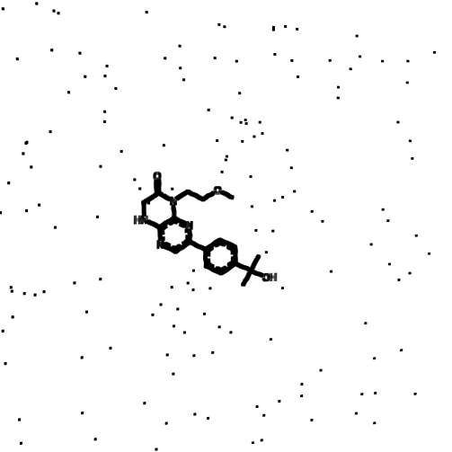 COCCN1C(=O)CNc2ncc(-c3ccc(C(C)(C)O)cc3)nc21